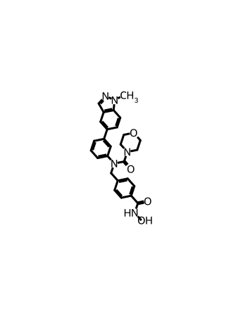 Cn1ncc2cc(-c3cccc(N(Cc4ccc(C(=O)NO)cc4)C(=O)N4CCOCC4)c3)ccc21